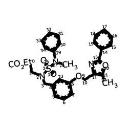 CCOC(=O)CN(Cc1cccc(OCc2nc(-c3ccccc3)oc2C)c1)S(=O)(=O)N(C)c1ccccc1